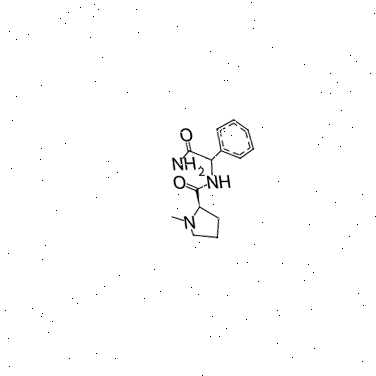 CN1CCC[C@@H]1C(=O)NC(C(N)=O)c1ccccc1